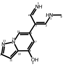 CN/C=C(\C=N)c1cc(O)c2ccnn2c1